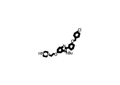 CCCCn1c(-c2cccc(OCc3ccc(Cl)cc3)c2)nc2ccc(OCCN3CCNCC3)cc21